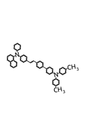 Cc1ccc(N(c2ccc(C)cc2)c2ccc(-c3ccc(/C=C/c4ccc(N(c5ccccc5)c5cccc6ccccc56)cc4)cc3)cc2)cc1